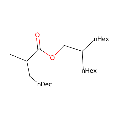 CCCCCCCCCCCC(C)C(=O)OCC(CCCCCC)CCCCCC